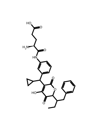 CCC(Cc1ccccc1)C1OC(=O)C(C(c2cccc(NC(=O)[C@@H](N)CCC(=O)O)c2)C2CC2)=C(O)C1=O